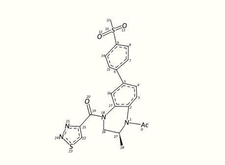 CC(=O)N1c2ccc(-c3ccc(S(C)(=O)=O)cc3)cc2N(C(=O)c2csnn2)C[C@@H]1C